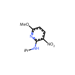 COc1ccc([N+](=O)[O-])c(NC(C)C)n1